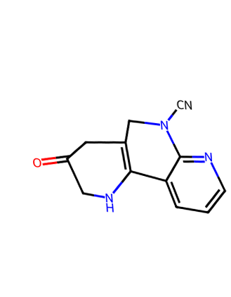 N#CN1CC2=C(NCC(=O)C2)c2cccnc21